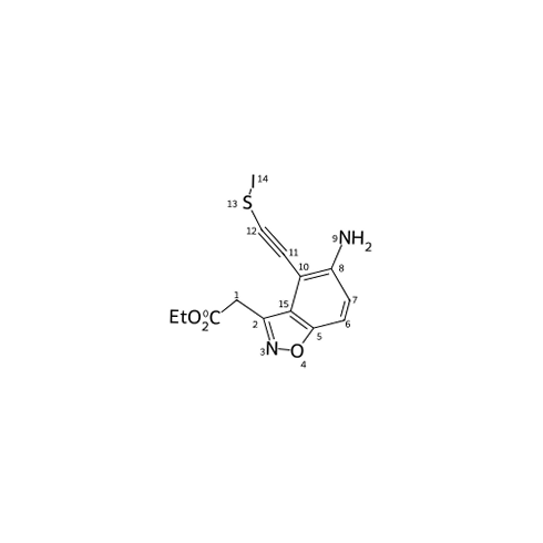 CCOC(=O)Cc1noc2ccc(N)c(C#CSI)c12